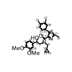 COc1ccc(C(O)CN(CC2CC2)C(=O)c2nc(C)sc2-c2ccc(C)c(C)c2)cc1OC